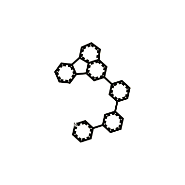 c1cncc(-c2cccc(-c3cccc(-c4cc5c6c(cccc6c4)-c4ccccc4-5)c3)c2)c1